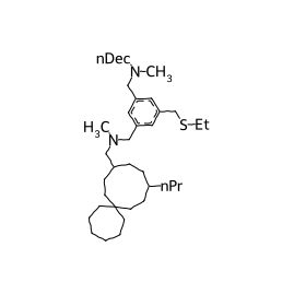 CCCCCCCCCCN(C)Cc1cc(CSCC)cc(CN(C)CC2CCC(CCC)CCC3(CCCCCC3)CC2)c1